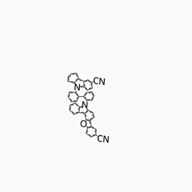 N#Cc1ccc2oc3c(ccc4c3c3ccccc3n4-c3ccccc3-c3ccccc3-n3c4ccccc4c4cc(C#N)ccc43)c2c1